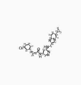 O=C(Nc1cnnc(NCc2cn3cc(C4CC4)ccc3n2)c1)[C@H]1C[C@@H]1c1cccc(Cl)c1